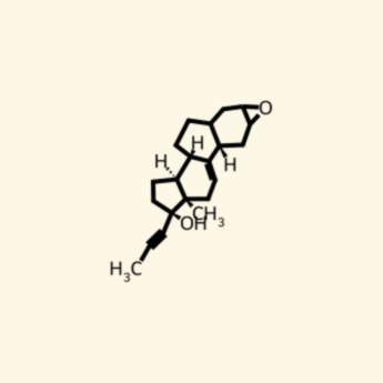 CC#C[C@]1(O)CC[C@H]2[C@@H]3CCC4CC5OC5C[C@@H]4C3=CC[C@@]21C